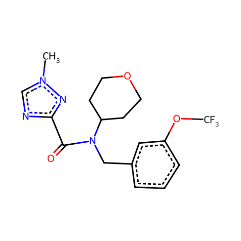 Cn1cnc(C(=O)N(Cc2cccc(OC(F)(F)F)c2)C2CCOCC2)n1